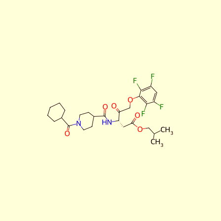 CC(C)COC(=O)C[C@H](NC(=O)C1CCN(C(=O)C2CCCCC2)CC1)C(=O)COc1c(F)c(F)cc(F)c1F